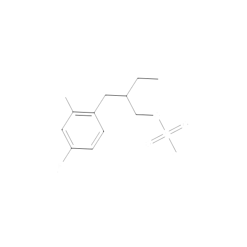 CCC(COS(C)(=O)=O)Cc1ccc(F)cc1F